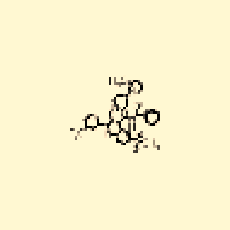 C[C@@H]1CCCN1C1CCN(Cc2c(-c3cccc(C(F)(F)F)c3)nc3ccc(S(C)(=O)=O)cc3c2C(=O)NC(c2ccccc2)C(F)(F)F)CC1